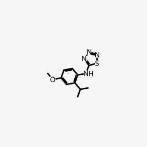 COc1ccc(Nc2nnns2)c(C(C)C)c1